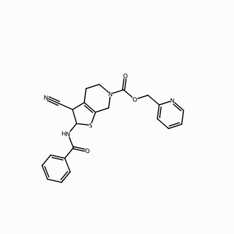 N#CC1C2=C(CN(C(=O)OCc3ccccn3)CC2)SC1NC(=O)c1ccccc1